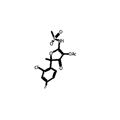 CC(=O)OC1=C(NS(C)(=O)=O)OC(C)(c2ccc(F)cc2Cl)C1=O